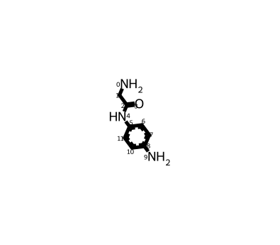 NCC(=O)Nc1ccc(N)cc1